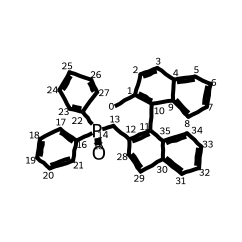 Cc1ccc2ccccc2c1-c1c(CP(=O)(c2ccccc2)c2ccccc2)ccc2ccccc12